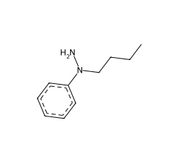 CCCCN(N)c1ccccc1